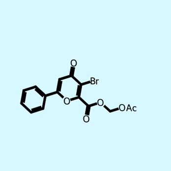 CC(=O)OCOC(=O)c1oc(-c2ccccc2)cc(=O)c1Br